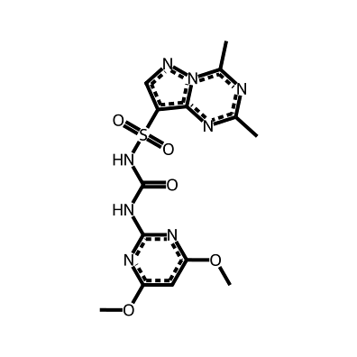 COc1cc(OC)nc(NC(=O)NS(=O)(=O)c2cnn3c(C)nc(C)nc23)n1